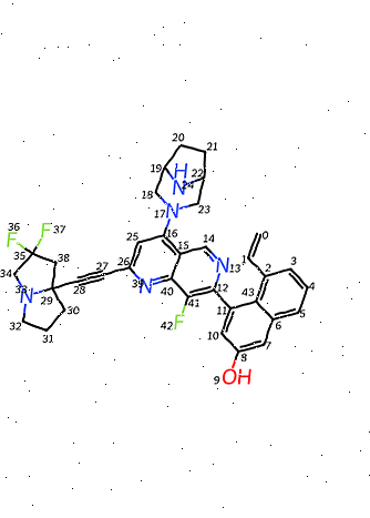 C=Cc1cccc2cc(O)cc(-c3ncc4c(N5CC6CCC(C5)N6)cc(C#CC56CCCN5CC(F)(F)C6)nc4c3F)c12